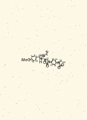 COc1ccc(CNC(NC=S)[C@@H]2CN(c3ccc(N4CCOC4=O)cc3)C(=O)O2)cc1